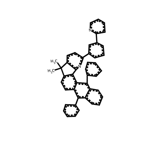 CC1(C)c2ccc(-c3cccc(-c4ccccn4)c3)nc2-c2c1ccc1c(-c3ccccc3)c3ccccc3c(-c3ccccc3)c21